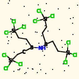 Cl[Si](Cl)(Cl)CCB(CC[Si](Cl)(Cl)Cl)NB(CC[Si](Cl)(Cl)Cl)CC[Si](Cl)(Cl)Cl